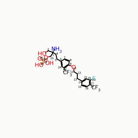 NC(CO)(CCc1ccc(OCCCc2ccc(C(F)(F)F)c(F)c2)c(C(F)(F)F)c1)COP(=O)(O)O